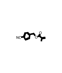 C=C(C)C(=O)OCc1ccc(C#N)cc1